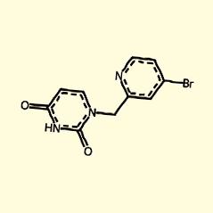 O=c1ccn(Cc2cc(Br)ccn2)c(=O)[nH]1